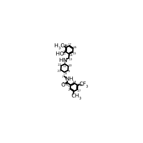 Cc1cc(C(=O)NC[C@H]2CC[C@@H](NCc3cccc(C)c3O)CC2)cc(C(F)(F)F)c1